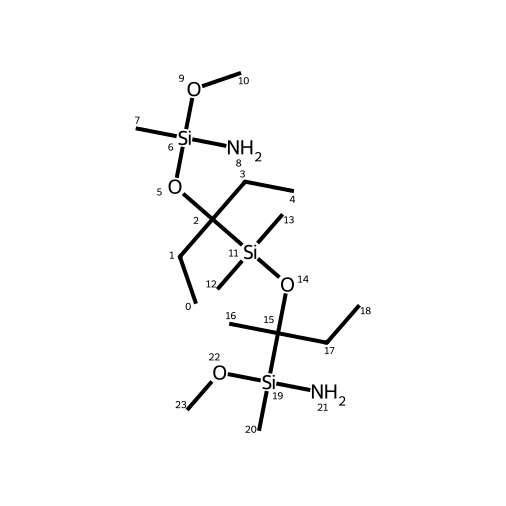 CCC(CC)(O[Si](C)(N)OC)[Si](C)(C)OC(C)(CC)[Si](C)(N)OC